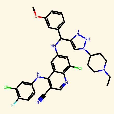 CCN1CCC(N2C=C(C(Nc3cc(Cl)c4ncc(C#N)c(Nc5ccc(F)c(Cl)c5)c4c3)c3cccc(OC)c3)NN2)CC1